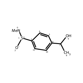 CN[S+]([O-])c1ccc(C(C)O)cc1